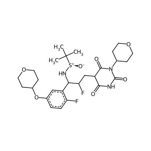 CC(C)(C)[S@@+]([O-])NC(c1cc(OC2CCOCC2)ccc1F)C(F)CC1C(=O)NC(=O)N(C2CCOCC2)C1=O